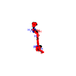 CC(=O)NCCC(=O)N1Cc2ccccc2C2=C(NNN2CCOCCOCCOCCNC(=O)OC[C@H]2O[C@@H](n3cnc4c(N)[n+](C/C=C(\C)CC[C@@]5(C)[C@@H]6CCCC(C)(C)C6=CC[C@@H]5C)cnc43)[C@H](O)[C@@H]2O)c2ccccc21